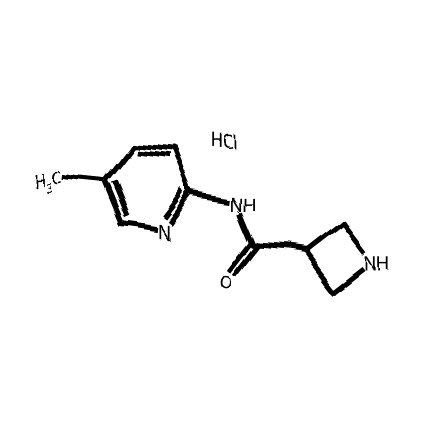 Cc1ccc(NC(=O)C2CNC2)nc1.Cl